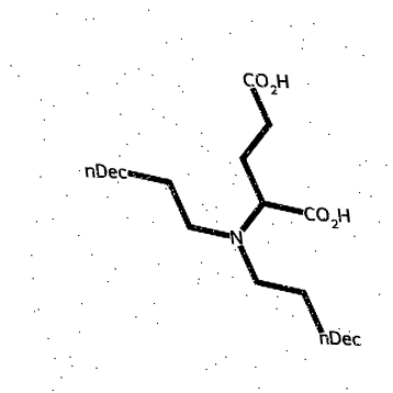 CCCCCCCCCCCCN(CCCCCCCCCCCC)C(CCC(=O)O)C(=O)O